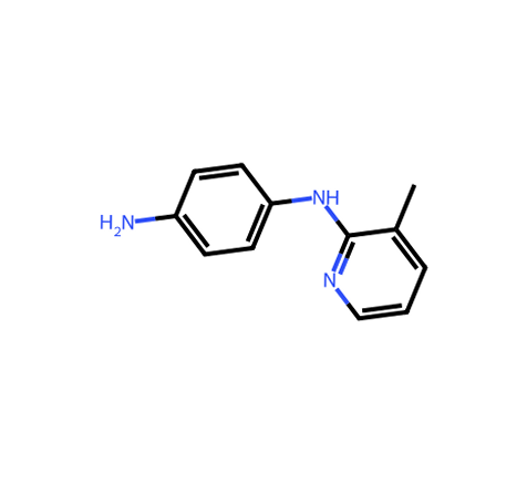 Cc1cccnc1Nc1ccc(N)cc1